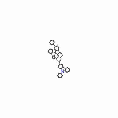 C1=CC2=C3C(=CCC2C=C1c1ccc2c(c1)c1ccccc1n2-c1ccccc1)c1ccc(-c2ccccc2)cc1C31c2ccccc2-c2ccccc21